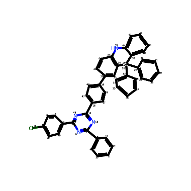 Clc1ccc(-c2nc(-c3ccccc3)nc(-c3ccc(-c4ccc5c(c4)[Si](c4ccccc4)(c4ccccc4)c4ccccc4N5)cc3)n2)cc1